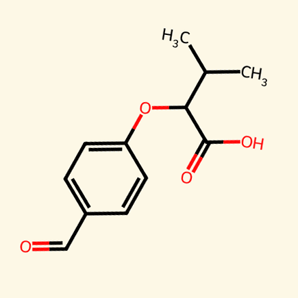 CC(C)C(Oc1ccc(C=O)cc1)C(=O)O